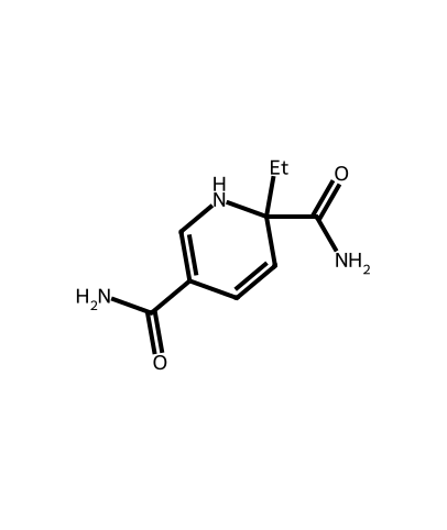 CCC1(C(N)=O)C=CC(C(N)=O)=CN1